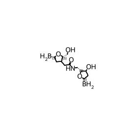 B[C@H]1CC(O)[C@@H](CNC(=O)CC2C[C@H](B)O[C@@H]2CO)O1